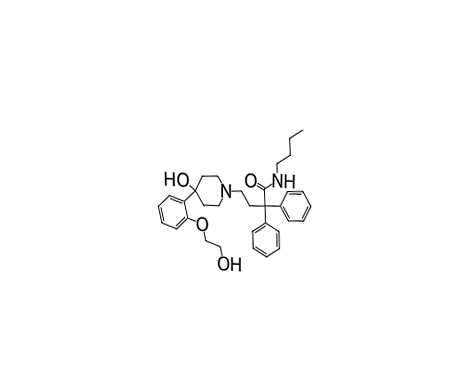 CCCCNC(=O)C(CCN1CCC(O)(c2ccccc2OCCO)CC1)(c1ccccc1)c1ccccc1